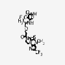 C[C@@H](COCCC(=O)N1CCN2c3ncc(C(F)(F)F)cc3N(C)C(=S)[C@@H]2C1)Nc1cn[nH]c(=O)c1C(F)(F)F